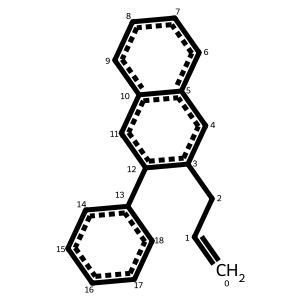 C=CCc1cc2ccccc2[c]c1-c1ccccc1